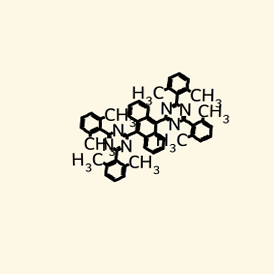 Cc1cccc(C)c1-c1nc(-c2c(C)cccc2C)nc(-c2c3ccccc3c(-c3nc(-c4c(C)cccc4C)nc(-c4c(C)cccc4C)n3)c3ccccc23)n1